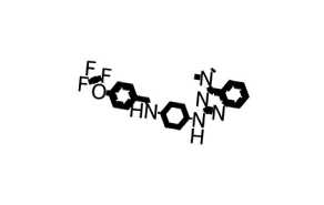 CN(C)c1nc(N[C@H]2CC[C@@H](NCc3ccc(OC(F)(F)F)cc3)CC2)nc2ccccc12